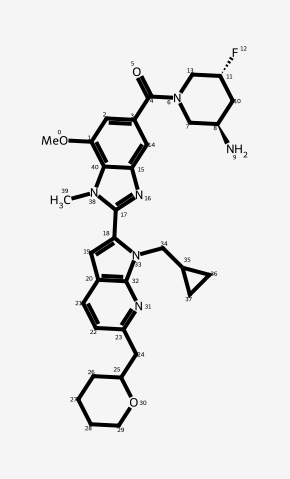 COc1cc(C(=O)N2C[C@H](N)C[C@@H](F)C2)cc2nc(-c3cc4ccc(CC5CCCCO5)nc4n3CC3CC3)n(C)c12